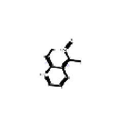 C=N/C(C)=c1/cccn/c1=C/C